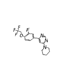 Fc1cc(-c2cc(N3CCCCC3)ncn2)ccc1OCC(F)(F)F